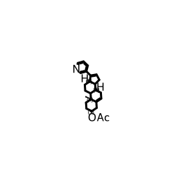 CC(=O)O[C@H]1CC[C@@]2(C)C(=CC[C@H]3C4CC=C(c5cccnc5)[C@H]4CCC32)C1